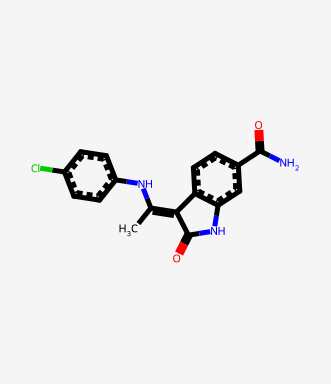 CC(Nc1ccc(Cl)cc1)=C1C(=O)Nc2cc(C(N)=O)ccc21